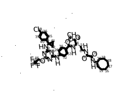 COC(=O)[C@H](CCNC(=O)C(=O)NC1CCCCCCC1)NC(=O)c1ccc(Nc2nc(NC3(c4ccc(Cl)cc4)CC3)nc(OCC(F)(F)F)n2)cc1